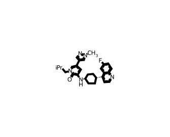 CC(C)Cn1cc(-c2cnn(C)c2)cc(N[C@H]2CC[C@@H](c3ccnc4ccc(F)cc43)CC2)c1=O